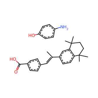 CC(=Cc1ccc(C(=O)O)cc1)c1ccc2c(c1)C(C)(C)CCC2(C)C.Nc1ccc(O)cc1